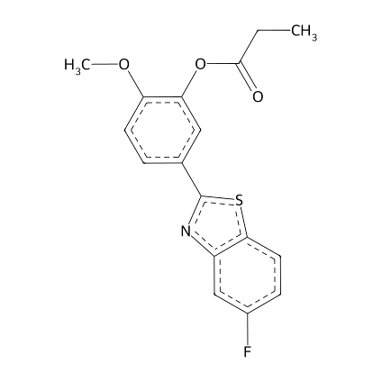 CCC(=O)Oc1cc(-c2nc3cc(F)ccc3s2)ccc1OC